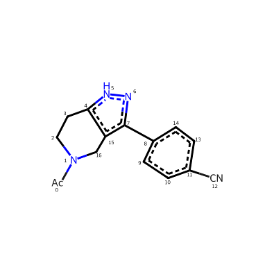 CC(=O)N1CCc2[nH]nc(-c3ccc(C#N)cc3)c2C1